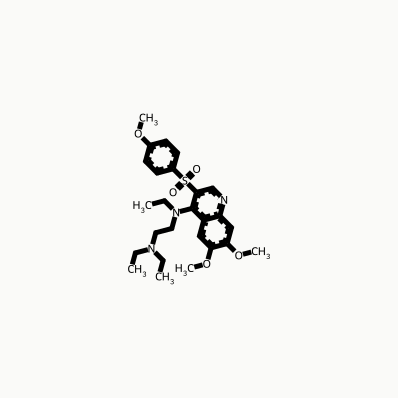 CCN(CC)CCN(CC)c1c(S(=O)(=O)c2ccc(OC)cc2)cnc2cc(OC)c(OC)cc12